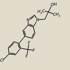 CC(C)(O)Cn1cnc2cc(-c3ccc(Cl)cc3C(F)(F)F)ccc21